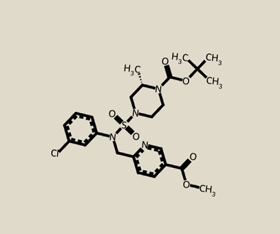 COC(=O)c1ccc(CN(c2cccc(Cl)c2)S(=O)(=O)N2CCN(C(=O)OC(C)(C)C)[C@@H](C)C2)nc1